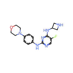 Fc1cnc(Nc2ccc(N3CCOCC3)cc2)nc1NC1CNC1